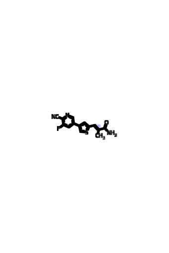 C/C(=C\c1cc(-c2cnc(C#N)c(F)c2)cs1)C(N)=O